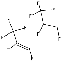 FC=C(F)C(F)(F)F.FCC(F)C(F)(F)F